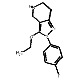 CCOc1c2c(nn1-c1ccc(F)cc1)CCNC2